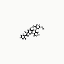 CCOc1ccc(CC2Cc3cc(N(C)C(=O)c4ccccc4F)cnc3N2CC2CCCCC2)cc1